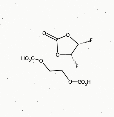 O=C(O)OCCOC(=O)O.O=C1O[C@@H](F)[C@@H](F)O1